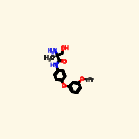 CCCOc1cccc(Oc2ccc(NC(=O)[C@@](C)(N)CO)cc2)c1